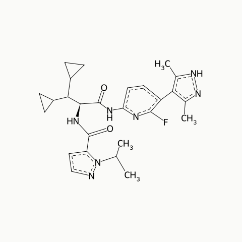 Cc1n[nH]c(C)c1-c1ccc(NC(=O)[C@@H](NC(=O)c2ccnn2C(C)C)C(C2CC2)C2CC2)nc1F